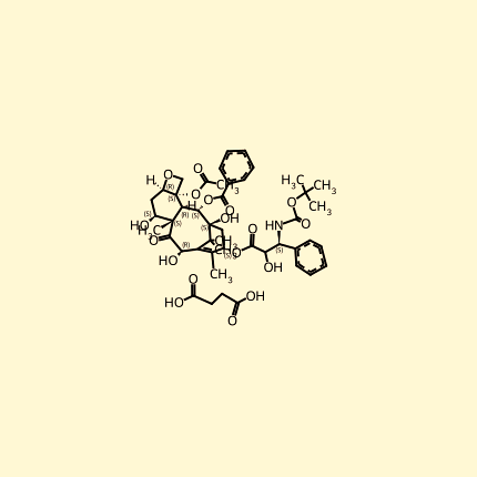 CC(=O)O[C@@]12CO[C@@H]1C[C@H](O)[C@@]1(C)C(=O)[C@H](O)C3=C(C)[C@@H](OC(=O)C(O)[C@@H](NC(=O)OC(C)(C)C)c4ccccc4)C[C@@](O)([C@@H](OC(=O)c4ccccc4)[C@H]21)C3(C)C.O=C(O)CCC(=O)O